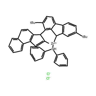 CC1=Cc2c(ccc3ccccc23)C1c1c(C(C)(C)C)ccc2c1[CH]([Zr+2][SiH](c1ccccc1)c1ccccc1)c1cc(C(C)(C)C)ccc1-2.[Cl-].[Cl-]